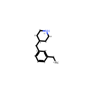 CC(=O)Cc1cccc(CC2CCNCC2)c1